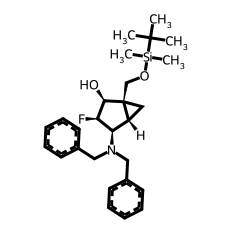 CC(C)(C)[Si](C)(C)OC[C@@]12C[C@@H]1[C@@H](N(Cc1ccccc1)Cc1ccccc1)[C@@H](F)[C@H]2O